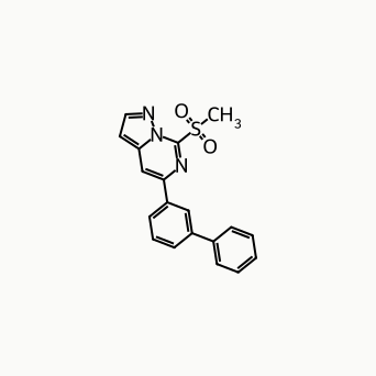 CS(=O)(=O)c1nc(-c2cccc(-c3ccccc3)c2)cc2ccnn12